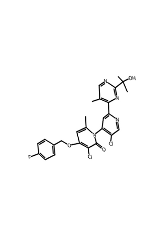 Cc1cnc(C(C)(C)O)nc1-c1cc(-n2c(C)cc(OCc3ccc(F)cc3)c(Cl)c2=O)c(Cl)cn1